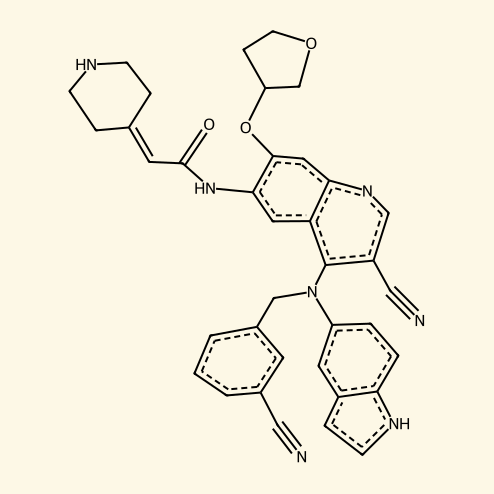 N#Cc1cccc(CN(c2ccc3[nH]ccc3c2)c2c(C#N)cnc3cc(OC4CCOC4)c(NC(=O)C=C4CCNCC4)cc23)c1